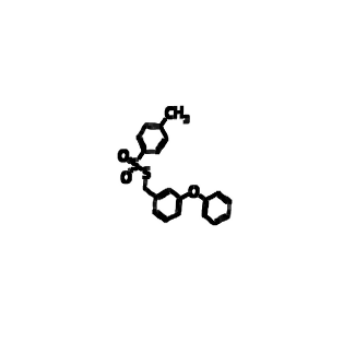 Cc1ccc(S(=O)(=O)SCc2cccc(Oc3ccccc3)c2)cc1